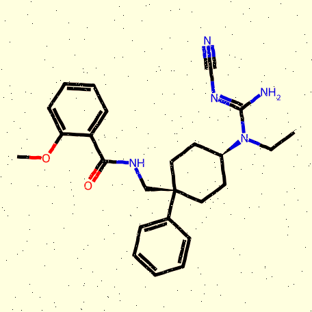 CCN(C(N)=NC#N)[C@H]1CC[C@](CNC(=O)c2ccccc2OC)(c2ccccc2)CC1